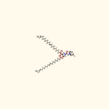 CCCCCCCCC=CCCCCCCCC(=O)O[C@@H]1CN(C(=O)CN(C)C)C[C@H]1OC(=O)CCCCCCCC=CCCCCCCCC